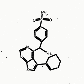 NC(c1ccc(S(N)(=O)=O)cc1)c1ncnc2scc(C3=CCCCC3)c12